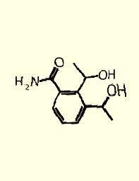 CC(O)c1cccc(C(N)=O)c1C(C)O